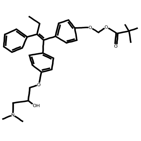 CC/C(=C(\c1ccc(OCOC(=O)C(C)(C)C)cc1)c1ccc(OCC(O)CN(C)C)cc1)c1ccccc1